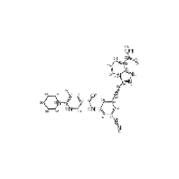 Cc1cc(C(=O)Nc2cc(C#N)cc(C#Cc3nnc4c(C(=O)O)cccn34)c2)cnc1N1CCCCC1